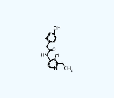 CCc1nccc(NC(=O)Cc2ccc(O)cc2)c1Cl